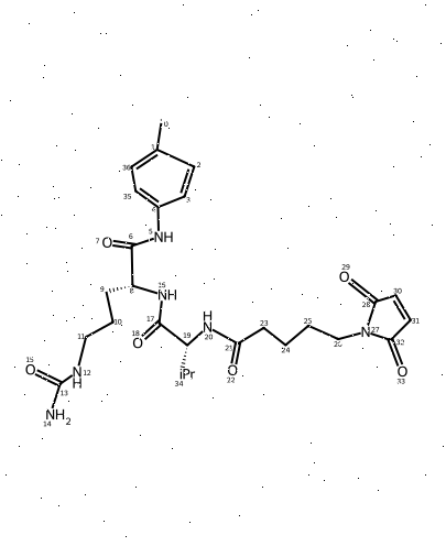 [CH2]c1ccc(NC(=O)[C@@H](CCCNC(N)=O)NC(=O)[C@H](NC(=O)CCCCN2C(=O)C=CC2=O)C(C)C)cc1